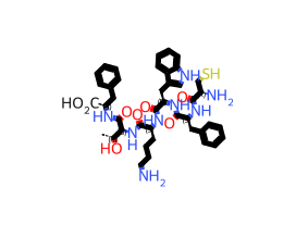 C[C@@H](O)[C@H](NC(=O)[C@H](CCCCN)NC(=O)[C@@H](Cc1c[nH]c2ccccc12)NC(=O)[C@H](Cc1ccccc1)NC(=O)[C@@H](N)CS)C(=O)N[C@@H](Cc1ccccc1)C(=O)O